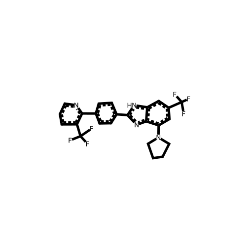 FC(F)(F)c1cc(N2CCCC2)c2nc(-c3ccc(-c4ncccc4C(F)(F)F)cc3)[nH]c2c1